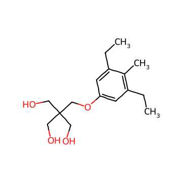 CCc1cc(OCC(CO)(CO)CO)cc(CC)c1C